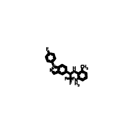 Cc1cccc(N)c1NC(c1ccc2c(cnn2-c2ccc(F)cc2)c1)C(F)(F)F